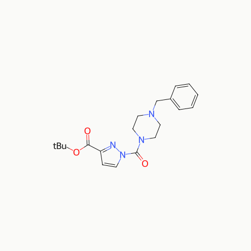 CC(C)(C)OC(=O)c1ccn(C(=O)N2CCN(Cc3ccccc3)CC2)n1